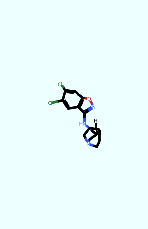 Clc1cc2onc(N[C@H]3CN4CCC3CC4)c2cc1Cl